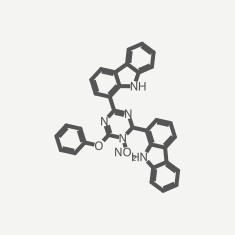 O=[N+]([O-])N1C(Oc2ccccc2)=NC(c2cccc3c2[nH]c2ccccc23)=NC1c1cccc2c1[nH]c1ccccc12